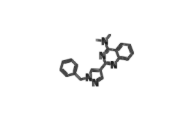 CN(C)c1nc(-c2cnn(Cc3ccccc3)c2)nc2ccccc12